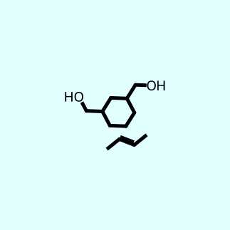 CC=CC.OCC1CCCC(CO)C1